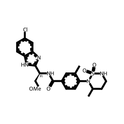 COC[C@H](NC(=O)c1ccc(N2C(C)CCNS2(=O)=O)c(C)c1)c1nc2cc(Cl)ccc2[nH]1